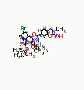 CN(Cc1ccc(-c2nnc(-c3cc(Br)cnc3N(C(=O)OC(C)(C)C)C(=O)OC(C)(C)C)o2)cc1)C(=O)O